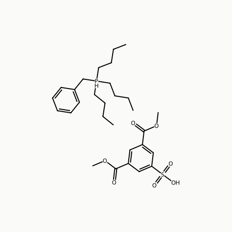 CCCC[PH](CCCC)(CCCC)Cc1ccccc1.COC(=O)c1cc(C(=O)OC)cc(S(=O)(=O)O)c1